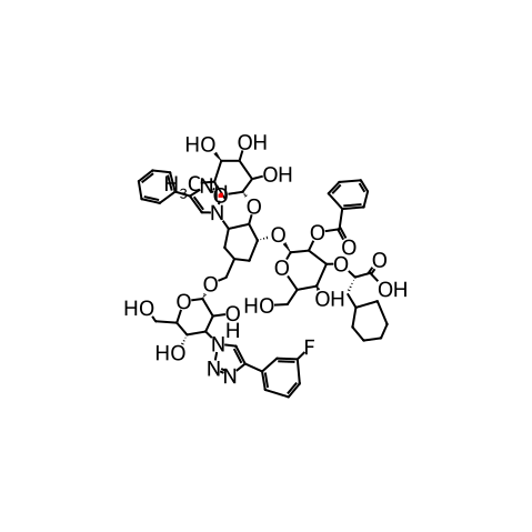 CC1O[C@@H](OC2C(n3cc(-c4ccccc4)nn3)CC(CO[C@H]3OC(CO)[C@@H](O)C(n4cc(-c5cccc(F)c5)nn4)C3O)C[C@H]2O[C@@H]2OC(CO)[C@H](O)C(O[C@@H](CC3CCCCC3)C(=O)O)C2OC(=O)c2ccccc2)C(O)C(O)[C@@H]1O